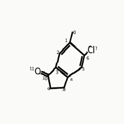 Cc1cc2c(cc1Cl)CCC2=O